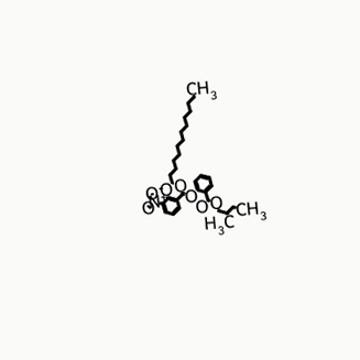 CCCCCCCCCCCCCCOc1c(C(=O)Oc2ccccc2C(=O)OCC(C)CC)cccc1[N+](=O)[O-]